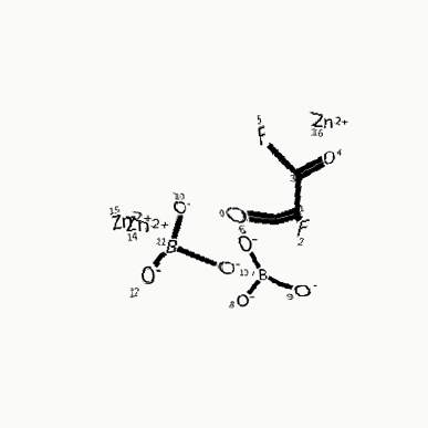 O=C(F)C(=O)F.[O-]B([O-])[O-].[O-]B([O-])[O-].[Zn+2].[Zn+2].[Zn+2]